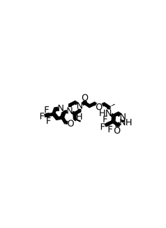 C[C@@H](COCCC(=O)N1CCN2c3ncc(C(F)(F)F)cc3CO[C@H](C)[C@H]2C1)Nc1cn[nH]c(=O)c1C(F)(F)F